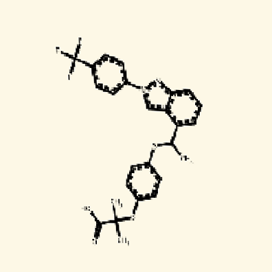 CC(Sc1ccc(OC(C)(C)C(=O)O)cc1)c1cccc2nn(-c3ccc(C(F)(F)F)cc3)cc12